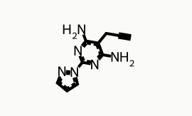 C#CCc1c(N)nc(-n2cccn2)nc1N